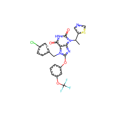 CC(c1cncs1)n1c(=O)[nH]c(=O)c2c1nc(Oc1cccc(OC(F)(F)F)c1)n2Cc1ccc(Cl)cc1